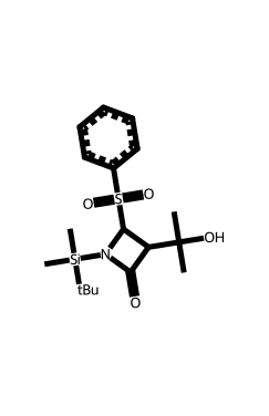 CC(C)(O)C1C(=O)N([Si](C)(C)C(C)(C)C)C1S(=O)(=O)c1ccccc1